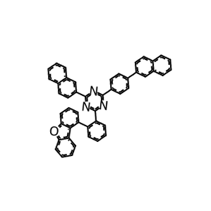 c1ccc(-c2cccc3oc4ccccc4c23)c(-c2nc(-c3ccc(-c4ccc5ccccc5c4)cc3)nc(-c3ccc4ccccc4c3)n2)c1